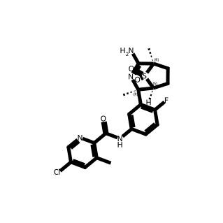 Cc1cc(Cl)cnc1C(=O)Nc1ccc(F)c([C@@]2(C)N=C(N)[C@@]3(C)CC[C@@H]2S3(=O)=O)c1